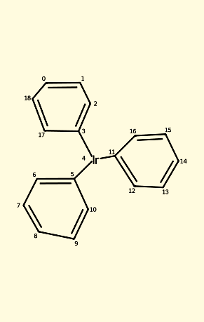 c1cc[c]([Ir]([c]2ccccc2)[c]2ccccc2)cc1